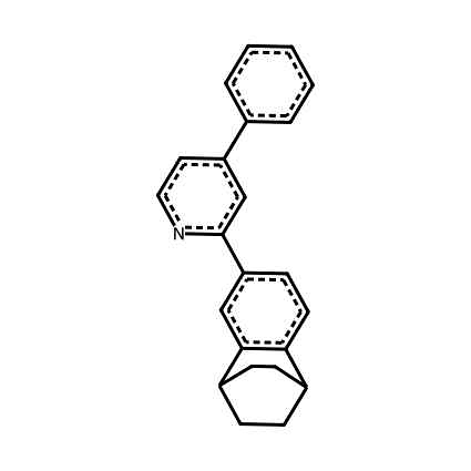 c1ccc(-c2ccnc(-c3ccc4c(c3)C3CCC4CC3)c2)cc1